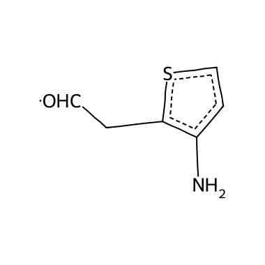 Nc1ccsc1C[C]=O